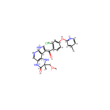 COC[C@@]1(C)Nc2c(cnc3[nH]cc(C(=O)c4ccc(Oc5cc(C)ccn5)cc4Cl)c23)NC1=O